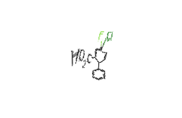 O=C(O)C1=CC(F)(Cl)C=CC1c1ccccc1